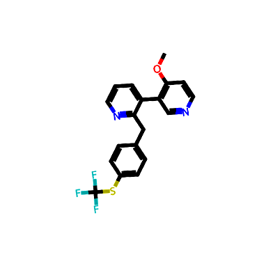 COc1ccncc1-c1cccnc1Cc1ccc(SC(F)(F)F)cc1